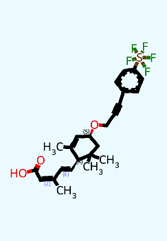 CC1=C[C@@H](OCC#Cc2ccc(S(F)(F)(F)(F)F)cc2)CC(C)(C)[C@H]1/C=C/C(C)=C\C(=O)O